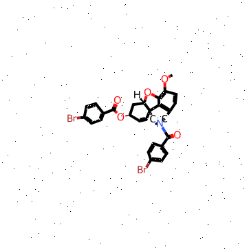 COc1ccc2c3c1O[C@H]1C[C@@H](OC(=O)c4ccc(Br)cc4)C=C[C@@]31CCN(C(=O)c1ccc(Br)cc1)C2